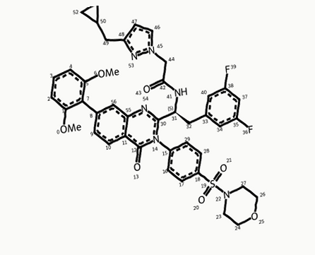 COc1cccc(OC)c1-c1ccc2c(=O)n(-c3ccc(S(=O)(=O)N4CCOCC4)cc3)c([C@H](Cc3cc(F)cc(F)c3)NC(=O)Cn3ccc(CC4CC4)n3)nc2c1